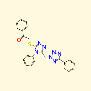 O=C(CSc1nnc(Cn2nnc(-c3ccccc3)n2)n1-c1ccccc1)c1ccccc1